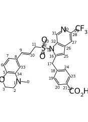 CN1CCOc2ccc(C=CCS(=O)(=O)n3c(Cc4ccc(C(=O)O)cc4)cc4cc(C(F)(F)F)ncc43)cc21